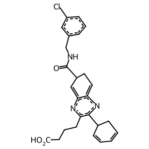 O=C(O)CCCc1nc2c(nc1C1C=CC=CC1)=CCC(C(=O)NCc1cccc(Cl)c1)C=2